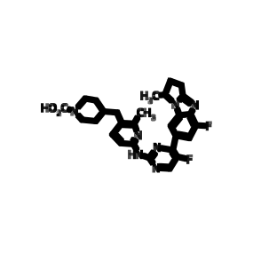 Cc1nc(Nc2ncc(F)c(-c3cc(F)c4nc5n(c4c3)C(C)CC5)n2)ccc1CC1CCN(C(=O)O)CC1